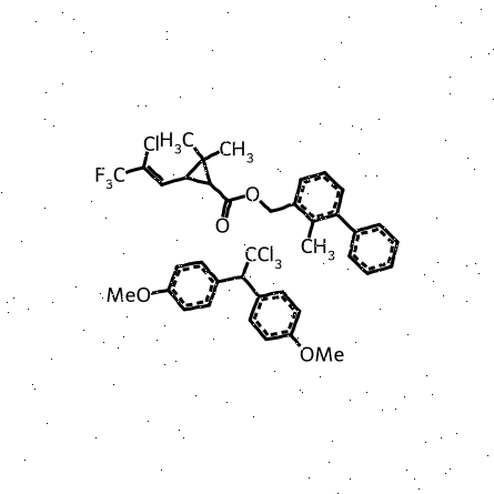 COc1ccc(C(c2ccc(OC)cc2)C(Cl)(Cl)Cl)cc1.Cc1c(COC(=O)C2C(/C=C(\Cl)C(F)(F)F)C2(C)C)cccc1-c1ccccc1